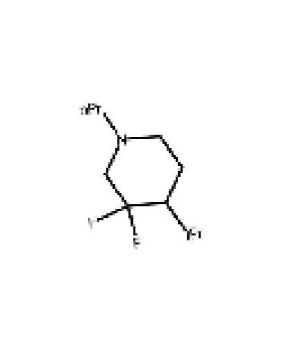 CCCN1CCC(C(C)C)C(F)(F)C1